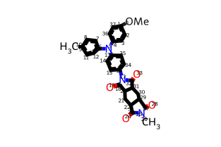 COc1ccc(N(c2ccc(C)cc2)c2ccc(N3C(=O)C4CC5C(=O)N(C)C(=O)C5CC4C3=O)cc2)cc1